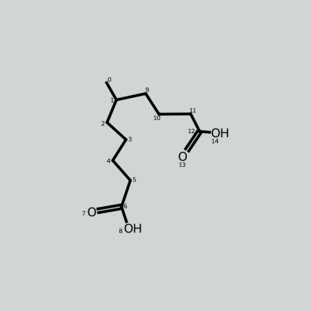 CC(CCCCC(=O)O)CCCC(=O)O